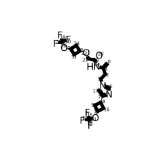 C=C(CCn1cnc([C@H]2C[C@@H](OC(F)(F)F)C2)c1)NC(=O)CO[C@H]1C[C@@H](OC(F)(F)F)C1